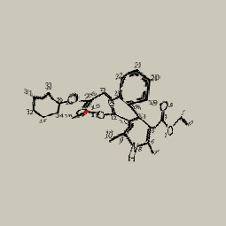 CCOC(=O)C1=C(C)NC(C)=C(C(=O)OCC)C1c1ccccc1C=CC(=O)OC1CCCCC1